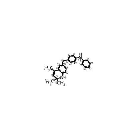 CC1=CC(C)(C)Nc2ccc(Cc3ccc(Nc4ccccc4)cc3)cc21